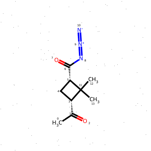 CC(=O)[C@@H]1C[C@H](C(=O)N=[N+]=[N-])C1(C)C